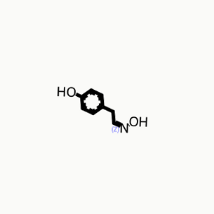 O/N=C\Cc1ccc(O)cc1